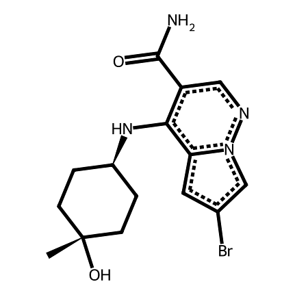 C[C@]1(O)CC[C@H](Nc2c(C(N)=O)cnn3cc(Br)cc23)CC1